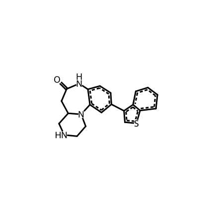 O=C1CC2CNCCN2c2cc(-c3csc4ccccc34)ccc2N1